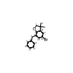 CC1(C)COc2c(Cc3ccccc3)cc(Br)cc21